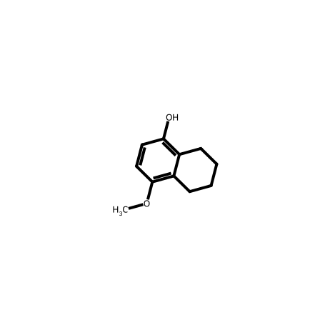 COc1ccc(O)c2c1CCCC2